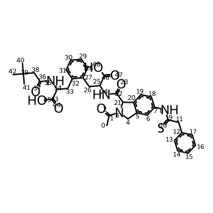 CC(=O)N1Cc2cc(NC(=S)Cc3ccccc3)ccc2C1C(=O)NC(Cc1ccccc1CC(NC(=O)CC(C)(C)C)C(=O)O)C(=O)O